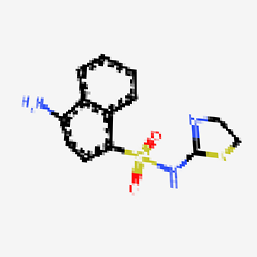 Nc1ccc(S(=O)(=O)NC2=NCCS2)c2ccccc12